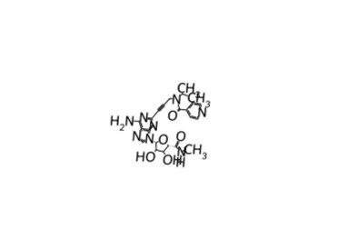 CNC(=O)[C@H]1O[C@@H](n2cnc3c(N)nc(C#CCN(C(=O)c4ccncc4)C(C)C)nc32)[C@H](O)[C@@H]1O